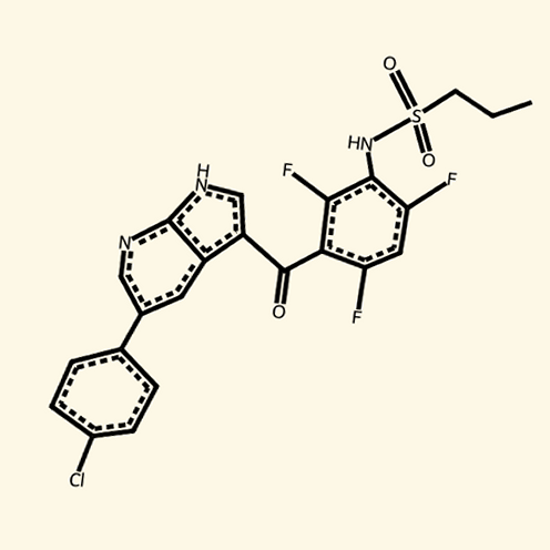 CCCS(=O)(=O)Nc1c(F)cc(F)c(C(=O)c2c[nH]c3ncc(-c4ccc(Cl)cc4)cc23)c1F